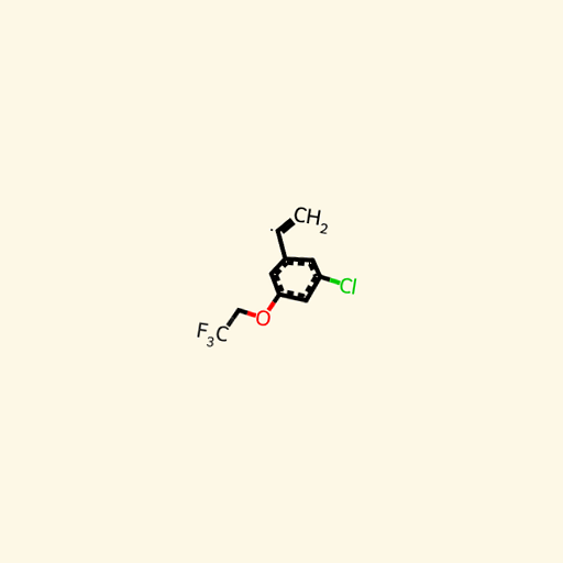 C=[C]c1cc(Cl)cc(OCC(F)(F)F)c1